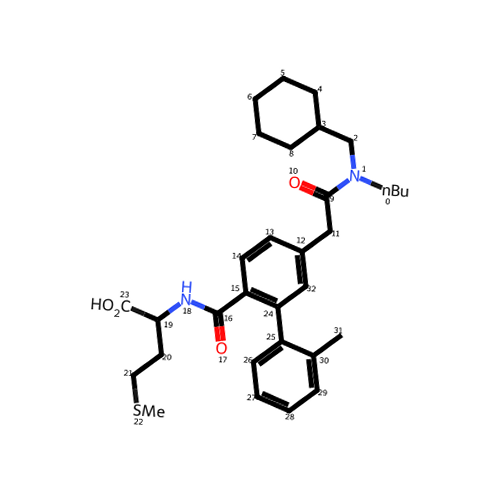 CCCCN(CC1CCCCC1)C(=O)Cc1ccc(C(=O)NC(CCSC)C(=O)O)c(-c2ccccc2C)c1